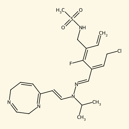 C=C\C(CNS(C)(=O)=O)=C(F)/C(=C\CCl)/C=N/N(/C=C/C1=NC/C=N\C/C=C\1)C(C)C